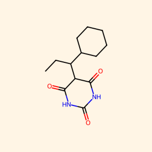 CCC(C1CCCCC1)C1C(=O)NC(=O)NC1=O